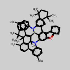 CCCCc1ccc(N2B3C4=C5c6ccccc6C(C)(C)C5(C)C5=C6C(C)(C=CC5C)c5cc(CCCC)ccc5N(c5cc7oc8ccccc8c7c(c53)-c3cc5c(cc32)C(C)(C)CCC5(C)C)C46C)cc1